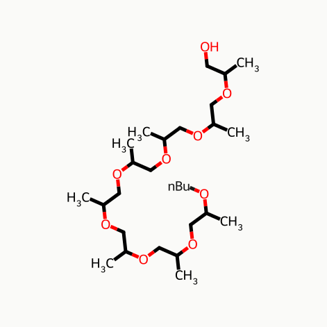 CCCCOC(C)COC(C)COC(C)COC(C)COC(C)COC(C)COC(C)COC(C)CO